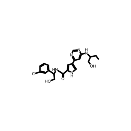 CCC(CO)Nc1cc(-c2c[nH]c(C(=O)NC(CO)c3cccc(Cl)c3)c2)ncn1